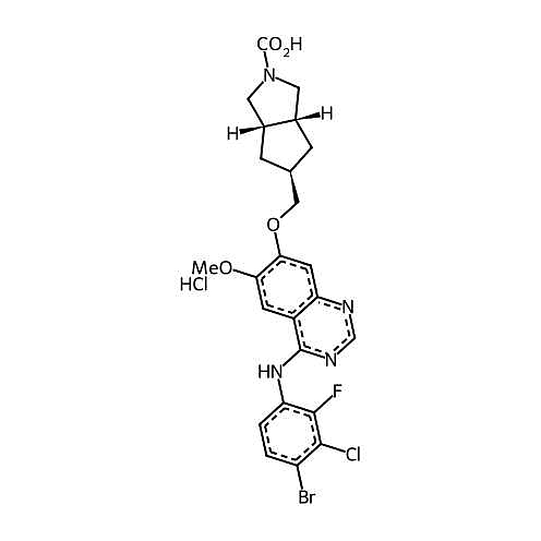 COc1cc2c(Nc3ccc(Br)c(Cl)c3F)ncnc2cc1OC[C@H]1C[C@@H]2CN(C(=O)O)C[C@@H]2C1.Cl